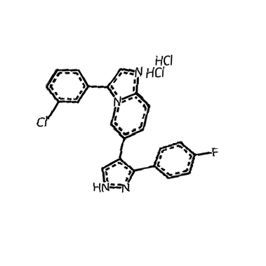 Cl.Cl.Fc1ccc(-c2n[nH]cc2-c2ccc3ncc(-c4cccc(Cl)c4)n3c2)cc1